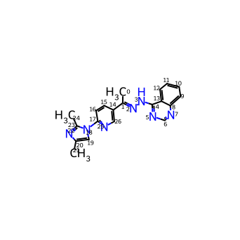 C/C(=N\Nc1ncnc2ccccc12)c1ccc(-n2cc(C)nc2C)nc1